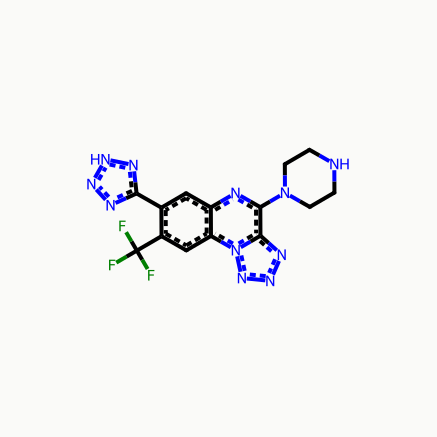 FC(F)(F)c1cc2c(cc1-c1nn[nH]n1)nc(N1CCNCC1)c1nnnn12